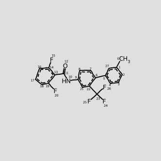 Cc1cccc(-c2ccc(NC(=O)c3c(F)cccc3F)cc2C(F)(F)F)c1